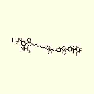 Nc1cc(N)cc(C(=O)OCCCCCCCCOC(=O)C=Cc2ccc(OC(=O)c3ccc(OC(F)(F)C(F)F)cc3)cc2)c1